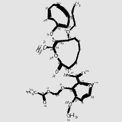 CCCO[C@H]1CCCC[C@H](NC(=O)c2nccc(OC)c2OCOC(C)=O)C(=O)O[C@@H](C)[C@@H]1Oc1ccccc1